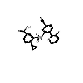 N#Cc1ccc(-c2ncccc2F)c(NS(=O)(=O)c2cc(C(=O)O)ccc2C2CC2)c1